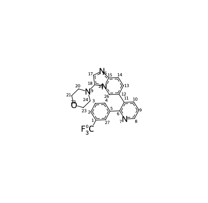 FC(F)(F)c1cccc(-c2ncccc2-c2ccc3ncc(N4CCOCC4)n3c2)c1